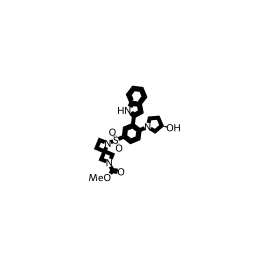 COC(=O)N1CC2(CCN2S(=O)(=O)c2ccc(N3CC[C@H](O)C3)c(-c3cc4ccccc4[nH]3)c2)C1